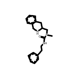 CN(CC1Cc2ccccc2CN1)C(=O)NCCc1ccccc1